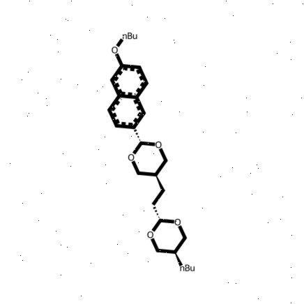 CCCCOc1ccc2cc([C@H]3OC[C@H](CC[C@H]4OC[C@H](CCCC)CO4)CO3)ccc2c1